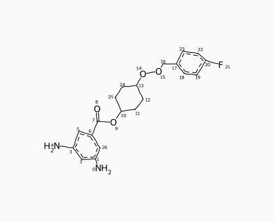 Nc1cc(N)cc(C(=O)OC2CCC(OOCc3ccc(F)cc3)CC2)c1